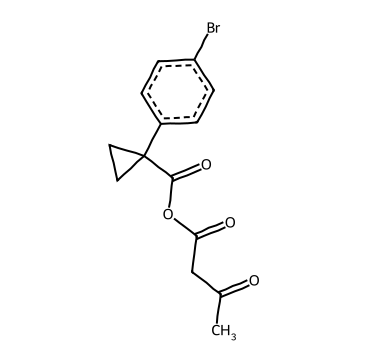 CC(=O)CC(=O)OC(=O)C1(c2ccc(Br)cc2)CC1